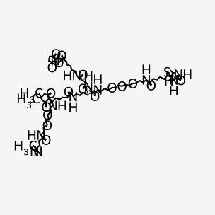 CC1(C)CC(=O)C(=C(CCCCC(=O)NCCCC[C@H](NC(=O)CCC(=O)NCCCCCC(=O)ON2C(=O)CCC2=O)C(=O)NCCCOCCOCCOCCCNC(=O)CCCCC2SCC3NC(=O)N[C@@H]32)NCCOCCOCCNC(=O)CCC2(C)N=N2)C(=O)C1